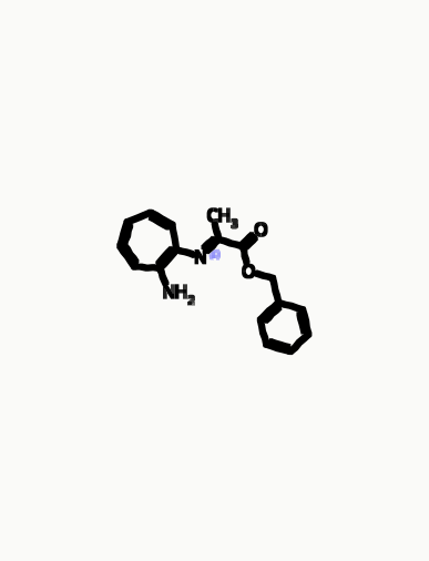 C/C(=N\C1=C(N)C=C=CC=C1)C(=O)OCc1ccccc1